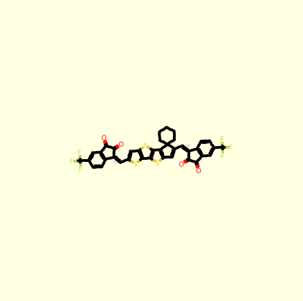 O=C1C(=O)c2cc(C(F)(F)F)ccc2/C1=C/C1=Cc2sc3c(sc4cc(/C=C5\C(=O)C(=O)c6cc(C(F)(F)F)ccc65)sc43)c2C12CCCCC2